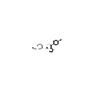 CC(C)(O)CN1CCC[C@@H](Nc2nnc(-c3ccc(C(F)(F)F)cc3O)c3cccn23)C1